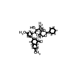 Cc1nc([C@@H]2O[C@@H]3COC(c4ccccc4)O[C@@H]3[C@H](N)[C@H]2O)n(-c2cc(Cl)c3nc(C)sc3c2)n1